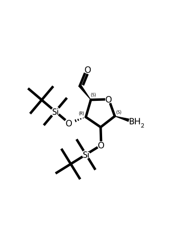 B[C@@H]1O[C@H](C=O)[C@@H](O[Si](C)(C)C(C)(C)C)C1O[Si](C)(C)C(C)(C)C